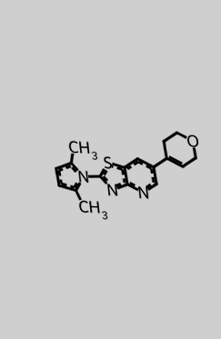 Cc1ccc(C)n1-c1nc2ncc(C3=CCOCC3)cc2s1